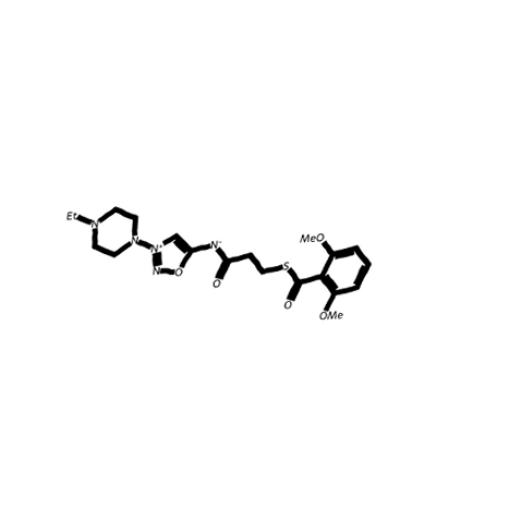 CCN1CCN([n+]2cc([N-]C(=O)CCSC(=O)c3c(OC)cccc3OC)on2)CC1